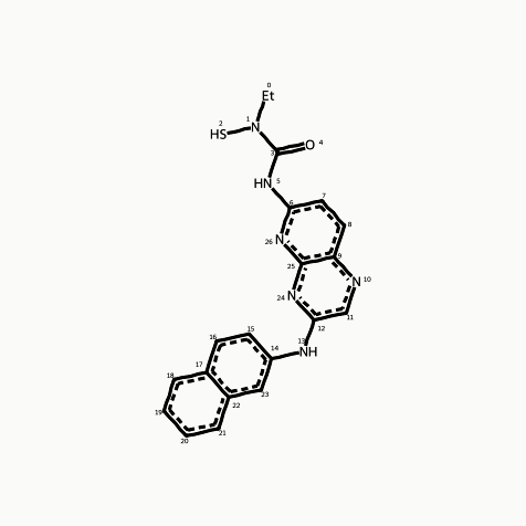 CCN(S)C(=O)Nc1ccc2ncc(Nc3ccc4ccccc4c3)nc2n1